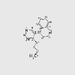 C=CCSc1ncncc1C1CCOc2ccccc21